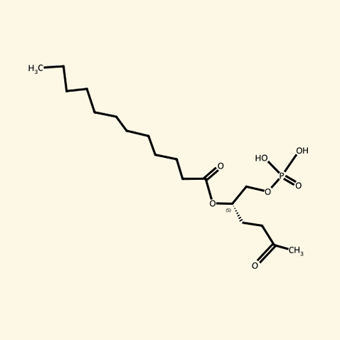 CCCCCCCCCCCC(=O)O[C@@H](CCC(C)=O)COP(=O)(O)O